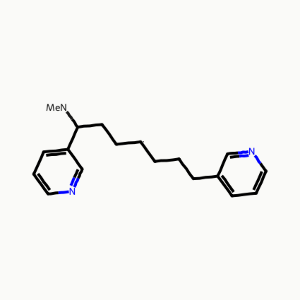 CNC(CC[CH]CCCc1cccnc1)c1cccnc1